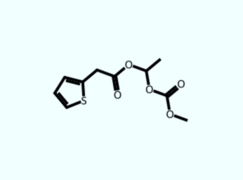 COC(=O)OC(C)OC(=O)Cc1cccs1